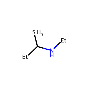 CCNC([SiH3])CC